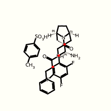 Cc1ccc(S(=O)(=O)O)cc1.N[C@H](Cc1cc(F)c(F)cc1F)[C@@H]1C[C@H]2CC[C@@H](C1)N2C(=O)CNC(=O)CCc1ccccc1